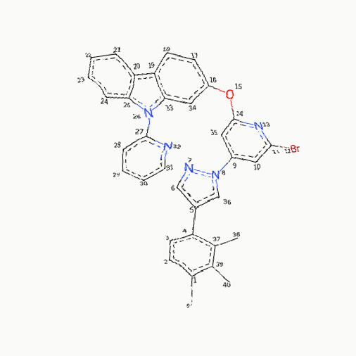 Cc1ccc(-c2cnn(-c3cc(Br)nc(Oc4ccc5c6ccccc6n(-c6ccccn6)c5c4)c3)c2)c(C)c1C